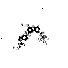 CCOC(=O)n1ccc2cc(S(=O)(=O)c3cc(OC)c4oc5c(c4c3)CN(C(=O)OC(C)(C)C)CC5)ccc21